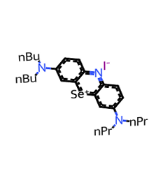 CCCCN(CCCC)c1ccc2nc3ccc(N(CCC)CCC)cc3[se+]c2c1.[I-]